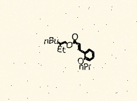 CCCCC(CC)COC(=O)C=Cc1ccccc1OCCC